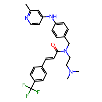 Cc1cc(Nc2ccc(CN(CCN(C)C)C(=O)C=Cc3ccc(C(F)(F)F)cc3)cc2)ccn1